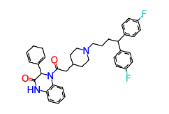 O=C1Nc2ccccc2N(C(=O)CC2CCN(CCCC(c3ccc(F)cc3)c3ccc(F)cc3)CC2)C1C1=CCCC=C1